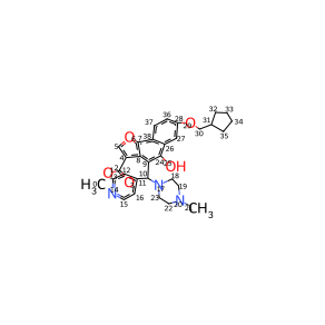 COC(=O)c1coc2c1c(C(c1ccncc1)N1CCN(C)CC1)c(O)c1cc(OCC3CCCC3)ccc12